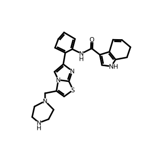 O=C(Nc1ccccc1-c1cn2c(CN3CCNCC3)csc2n1)c1c[nH]c2c1C=CCC2